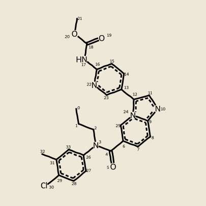 CCCN(C(=O)c1ccc2ncc(-c3ccc(NC(=O)OC)nc3)n2c1)c1ccc(Cl)c(C)c1